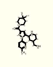 Cc1ccc(-n2nc(C(=O)N3CCC(F)(F)CC3)cc2C2CC(CO)CCN2)cn1